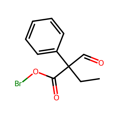 CCC(C=O)(C(=O)OBr)c1ccccc1